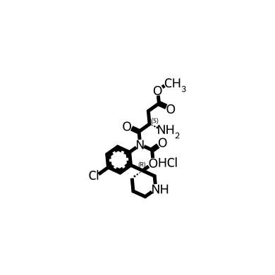 COC(=O)C[C@H](N)C(=O)N1C(=O)O[C@]2(CCCNC2)c2cc(Cl)ccc21.Cl